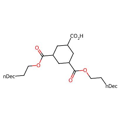 CCCCCCCCCCCCOC(=O)C1CC(C(=O)O)CC(C(=O)OCCCCCCCCCCCC)C1